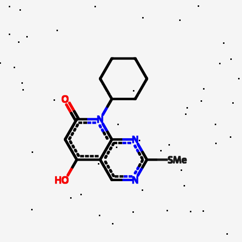 CSc1ncc2c(O)cc(=O)n(C3CCCCC3)c2n1